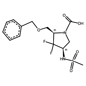 CS(=O)(=O)N[C@@H]1CN(C(=O)O)[C@H](COCc2ccccc2)C1(F)F